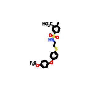 Cc1ccc(S(=O)(=O)NCCSc2ccc(Oc3ccc(OC(F)(F)F)cc3)cc2)cc1C(=O)O